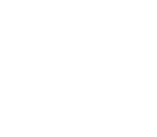 Cc1cc[c]c(Cc2ccccc2)c1